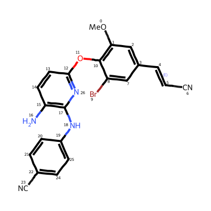 COc1cc(/C=C/C#N)cc(Br)c1Oc1ccc(N)c(Nc2ccc(C#N)cc2)n1